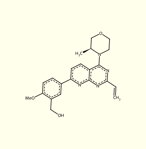 C=Cc1nc(N2CCOC[C@@H]2C)c2ccc(-c3ccc(OC)c(CO)c3)nc2n1